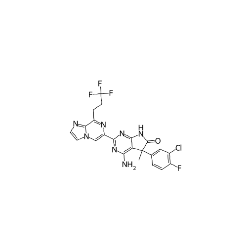 CC1(c2ccc(F)c(Cl)c2)C(=O)Nc2nc(-c3cn4ccnc4c(CCC(F)(F)F)n3)nc(N)c21